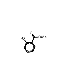 COC(=O)c1ccccc1[O]